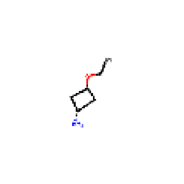 CC(C)CO[C@H]1C[C@H](N)C1